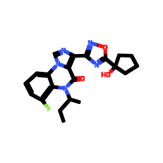 CCC(C)n1c(=O)c2c(-c3noc(C4(O)CCCC4)n3)ncn2c2cccc(F)c21